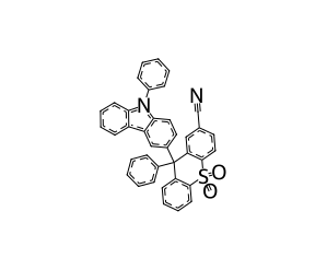 N#Cc1ccc2c(c1)C(c1ccccc1)(c1ccc3c(c1)c1ccccc1n3-c1ccccc1)c1ccccc1S2(=O)=O